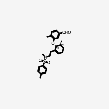 Cc1ccc(S(=O)(=O)N(C)CCC2=CCC[C@H](C)[C@H]2Oc2cc(C=O)ccc2C)cc1